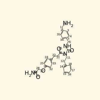 NCc1ccc(CNC(=O)N(CCc2ccccc2)C(=O)[CH]Cc2ccc(OCC(N)=O)cc2)cc1